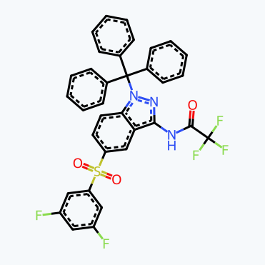 O=C(Nc1nn(C(c2ccccc2)(c2ccccc2)c2ccccc2)c2ccc(S(=O)(=O)c3cc(F)cc(F)c3)cc12)C(F)(F)F